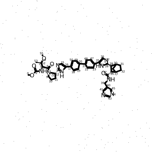 COC(=O)N[C@H](C(=O)N1CCC[C@H]1c1ncc(-c2ccc(-c3ccc(-c4cnc([C@H]5C6CCC(C6)[C@@H]5C(=O)NCc5cncnc5)[nH]4)cc3)cc2)[nH]1)[C@@H](C)OC